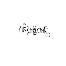 C=CC(=O)NC1C(C)CN(S(=O)(=O)C2CCN(C(=O)N3CCCCC3)CC2)CC1C